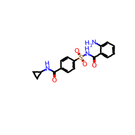 Nc1ccccc1C(=O)NS(=O)(=O)c1ccc(C(=O)NC2CC2)cc1